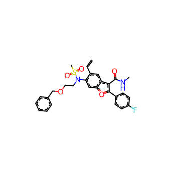 C=Cc1cc2c(C(=O)NC)c(-c3ccc(F)cc3)oc2cc1N(CCOCc1ccccc1)S(C)(=O)=O